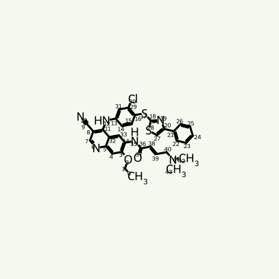 CCOc1cc2ncc(C#N)c(Nc3ccc(Sc4nc(-c5ccccc5)cs4)c(Cl)c3)c2cc1NC(=O)C=CCN(C)C